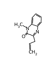 C=CCc1nc2ccccc2n(C)c1=O